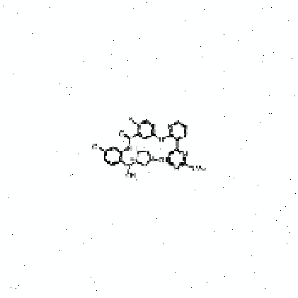 CNc1nccc(-c2cccnc2Oc2ccc(F)c(C(=O)Nc3cc(Cl)ccc3N(C)[C@H]3CCN(C)C3)c2)n1